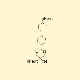 CCCCC[C@H]1CC[C@H]([C@H]2CC[C@@H]([C@H]3OC[C@@](C#N)(CCCCC)CO3)CC2)CC1